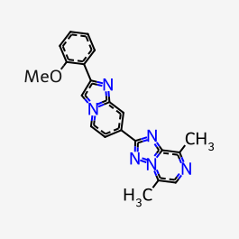 COc1ccccc1-c1cn2ccc(-c3nc4c(C)ncc(C)n4n3)cc2n1